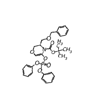 CC(C)(C)OC(=O)N1C(OP(=O)(Oc2ccccc2)Oc2ccccc2)=COC[C@H]1COCc1ccccc1